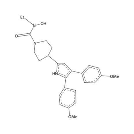 CCN(O)C(=O)N1CCC(c2cc(-c3ccc(OC)cc3)c(-c3ccc(OC)cc3)[nH]2)CC1